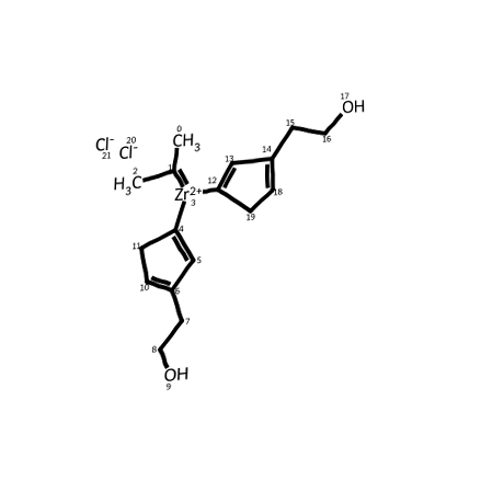 C[C](C)=[Zr+2]([C]1=CC(CCO)=CC1)[C]1=CC(CCO)=CC1.[Cl-].[Cl-]